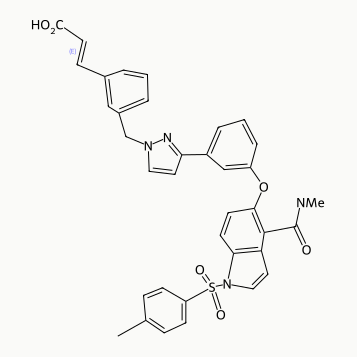 CNC(=O)c1c(Oc2cccc(-c3ccn(Cc4cccc(/C=C/C(=O)O)c4)n3)c2)ccc2c1ccn2S(=O)(=O)c1ccc(C)cc1